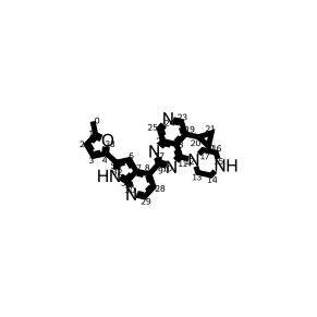 Cc1ccc(-c2cc3c(-c4nc(N5CCNCC5)c5c(C6CC6)cncc5n4)ccnc3[nH]2)o1